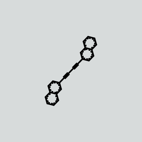 C(C#Cc1ccc2ccccc2c1)#Cc1ccc2ccccc2c1